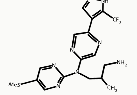 CSc1cnc(N(CC(C)CN)c2cnc(-c3cn[nH]c3C(F)(F)F)cn2)nc1